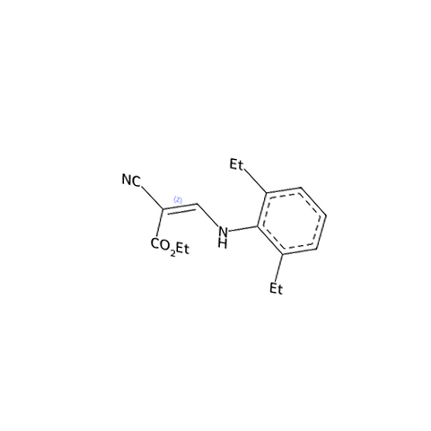 CCOC(=O)/C(C#N)=C\Nc1c(CC)cccc1CC